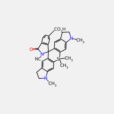 CN1CCc2cc3c(cc21)[Si](C)(C)c1cc2c(cc1C31c3cc(C(=O)O)ccc3C(=O)N1C#N)CCN2C